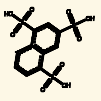 O=S(=O)(O)c1cc(S(=O)(=O)O)c2[c]ccc(S(=O)(=O)O)c2c1